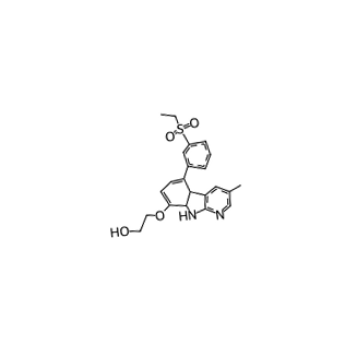 CCS(=O)(=O)c1cccc(C2=CC=C(OCCO)C3Nc4ncc(C)cc4C23)c1